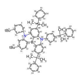 CC(C)(C)c1cccc(N2c3cc(C(C)(C)C)ccc3B3c4cc(C(C)(C)c5ccccc5)ccc4N(c4ccc(C(C)(C)c5ccccc5)cc4)c4cc([Si](C)(C)c5ccccc5)cc2c43)c1